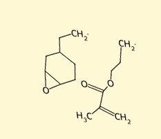 [CH2]CC1CCC2OC2C1.[CH2]CCOC(=O)C(=C)C